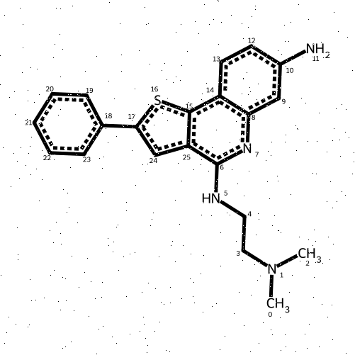 CN(C)CCNc1nc2cc(N)ccc2c2sc(-c3ccccc3)cc12